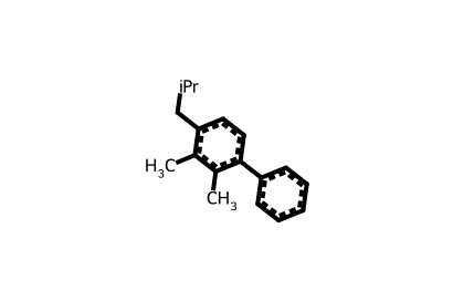 Cc1c(CC(C)C)ccc(-c2ccccc2)c1C